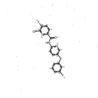 O=C(Nc1ccc(Cc2cccc(F)c2)cn1)c1ccc(F)c(Cl)n1